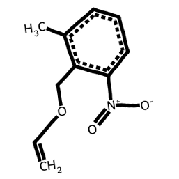 C=COCc1c(C)cccc1[N+](=O)[O-]